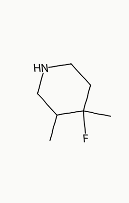 CC1CNCCC1(C)F